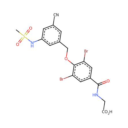 CS(=O)(=O)Nc1cc(C#N)cc(COc2c(Br)cc(C(=O)NCC(=O)O)cc2Br)c1